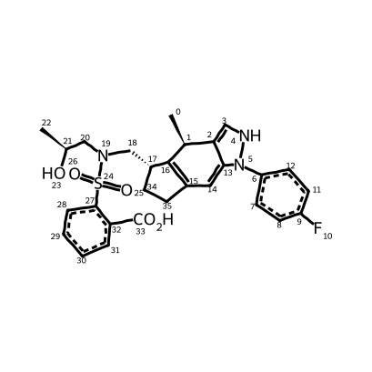 C[C@H]1C2=CNN(c3ccc(F)cc3)C2=CC2=C1[C@@H](CN(C[C@H](C)O)S(=O)(=O)c1ccccc1C(=O)O)CC2